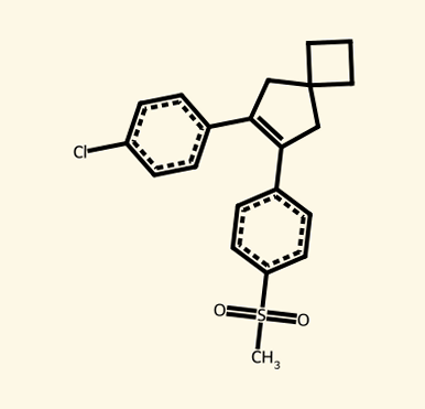 CS(=O)(=O)c1ccc(C2=C(c3ccc(Cl)cc3)CC3(CCC3)C2)cc1